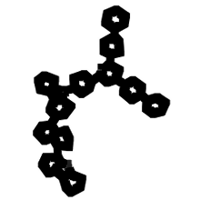 c1ccc(-c2ccc(-c3cc(-c4ccc(-c5ccccc5)cc4)nc(-c4ccc(-n5c6ccccc6c6cc(-c7cccc8c(-c9cccc%10c9sc9ccccc9%10)cccc78)ccc65)cc4)c3)cc2)cc1